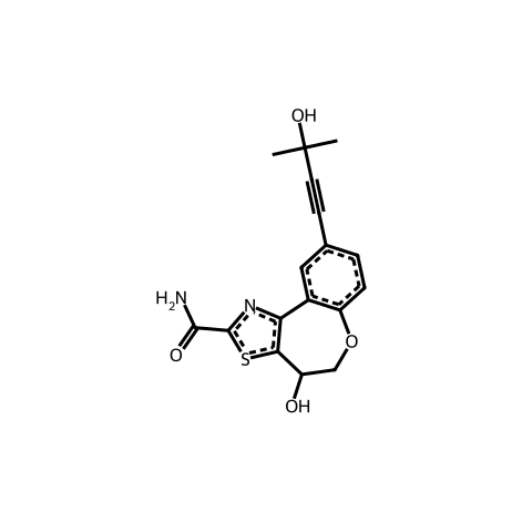 CC(C)(O)C#Cc1ccc2c(c1)-c1nc(C(N)=O)sc1C(O)CO2